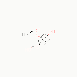 C=C(C)C(=O)OC12CC3CC(O)(CC(OCO)(C3)C1)C2